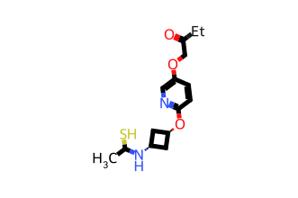 CCC(=O)COc1ccc(O[C@H]2C[C@@H](NC(C)S)C2)nc1